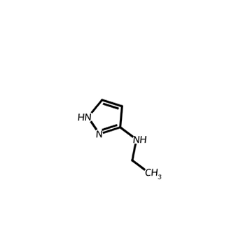 CCNc1cc[nH]n1